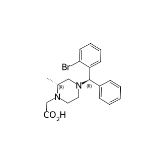 C[C@@H]1CN([C@H](c2ccccc2)c2ccccc2Br)CCN1CC(=O)O